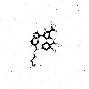 CC(Oc1cc(-c2cnc3ccc(CNCCN)cn23)sc1C(N)=O)c1ccccc1Cl